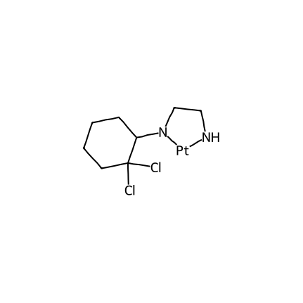 ClC1(Cl)CCCCC1[N]1CC[NH][Pt]1